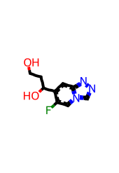 OCCC(O)c1cc2nncn2cc1F